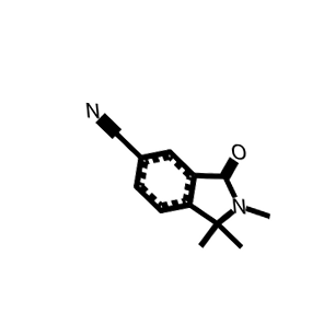 CN1C(=O)c2cc(C#N)ccc2C1(C)C